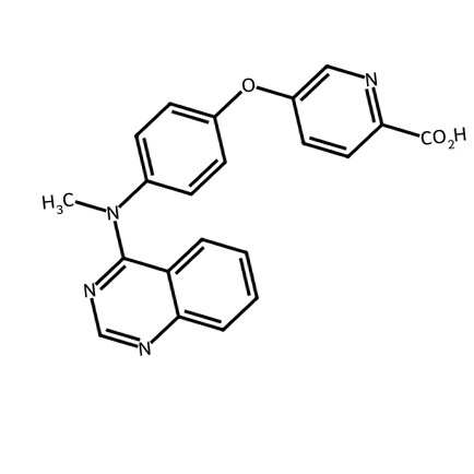 CN(c1ccc(Oc2ccc(C(=O)O)nc2)cc1)c1ncnc2ccccc12